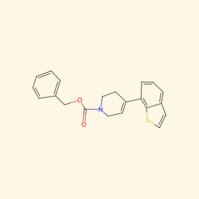 O=C(OCc1ccccc1)N1CC=C(c2cccc3ccsc23)CC1